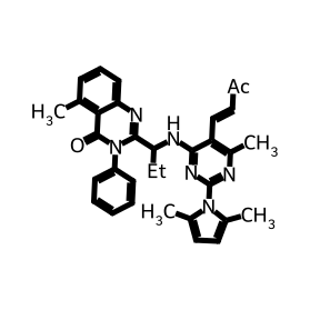 CCC(Nc1nc(-n2c(C)ccc2C)nc(C)c1C=CC(C)=O)c1nc2cccc(C)c2c(=O)n1-c1ccccc1